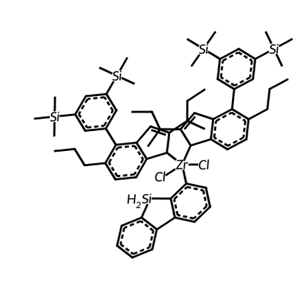 CCCc1ccc2c(c1-c1cc([Si](C)(C)C)cc([Si](C)(C)C)c1)C=C(C(C)CC)[CH]2[Zr]([Cl])([Cl])([c]1cccc2c1[SiH2]c1ccccc1-2)[CH]1C(C(C)CC)=Cc2c1ccc(CCC)c2-c1cc([Si](C)(C)C)cc([Si](C)(C)C)c1